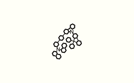 c1ccc(C2(c3ccccc3)c3ccccc3-c3ccc(-n4c5ccccc5c5ccc(-c6ccc(-c7cccc(N(c8cccc9ccccc89)c8cccc9ccccc89)c7)cc6)cc54)cc32)cc1